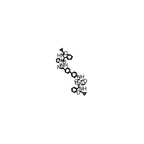 O=C(N[C@@H](C(=O)N1CCOC[C@H]1C(=O)Nc1ccc(-c2ccc(-c3cnc([C@@H]4CCCN4C(=O)[C@H](NC(=O)C4CC4)c4ccccc4)[nH]3)cc2)cc1)c1ccccc1)C1CC1